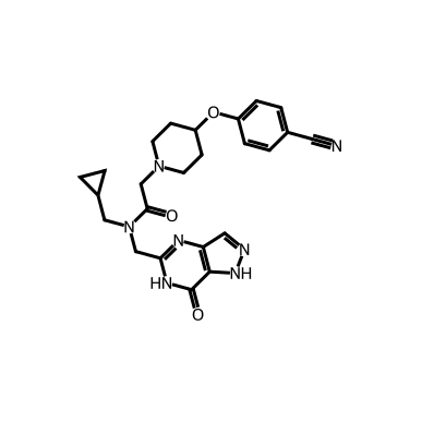 N#Cc1ccc(OC2CCN(CC(=O)N(Cc3nc4cn[nH]c4c(=O)[nH]3)CC3CC3)CC2)cc1